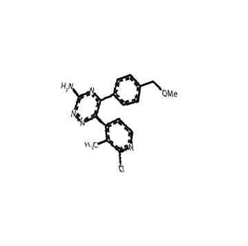 COCc1ccc(-c2nc(N)nnc2-c2ccnc(Cl)c2C)cc1